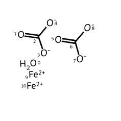 O.O=C([O-])[O-].O=C([O-])[O-].[Fe+2].[Fe+2]